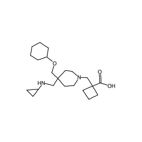 O=C(O)C1(CN2CCC(CNC3CC3)(COC3CCCCC3)CC2)CCC1